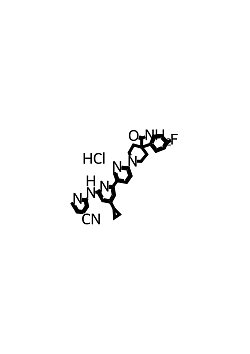 Cl.N#Cc1ccnc(Nc2cc(C3CC3)cc(-c3ccc(N4CCC(C(N)=O)(c5ccc(F)cc5)CC4)nc3)n2)c1